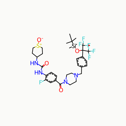 CC(C)(C)[Si](C)(C)OC(c1ccc(CN2CCN(C(=O)c3ccc(NC(=O)NC4CC[S+]([O-])CC4)c(F)c3)CC2)cc1)(C(F)(F)F)C(F)(F)F